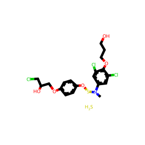 CN(SOc1ccc(OCC(O)CCl)cc1)c1cc(Cl)c(OCCCO)c(Cl)c1.S